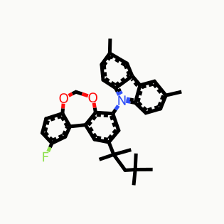 Cc1ccc2c(c1)c1cc(C)ccc1n2-c1cc(C(C)(C)CC(C)(C)C)cc2c1OCOc1ccc(F)cc1-2